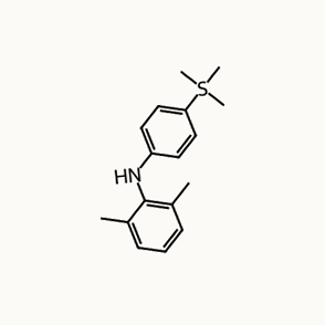 Cc1cccc(C)c1Nc1ccc(S(C)(C)C)cc1